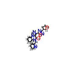 O=c1c2c(-c3nc(C4CCOC4)no3)ncn2c2ccccc2n1Cc1ccccn1